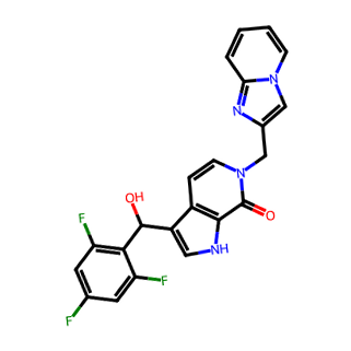 O=c1c2[nH]cc(C(O)c3c(F)cc(F)cc3F)c2ccn1Cc1cn2ccccc2n1